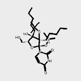 CCCCC[C@]1(OC(C)(C)C)[C@](O[SiH](C)C)(n2ccc(=O)[nH]c2=O)O[C@H](CO)[C@]1(O)CCCCC